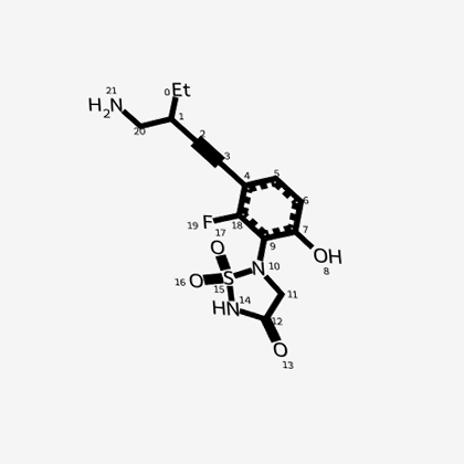 CCC(C#Cc1ccc(O)c(N2CC(=O)NS2(=O)=O)c1F)CN